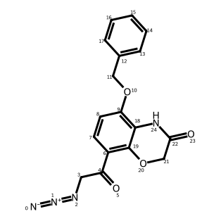 [N-]=[N+]=NCC(=O)c1ccc(OCc2ccccc2)c2c1OCC(=O)N2